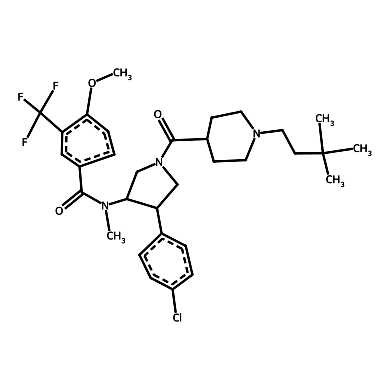 COc1ccc(C(=O)N(C)C2CN(C(=O)C3CCN(CCC(C)(C)C)CC3)CC2c2ccc(Cl)cc2)cc1C(F)(F)F